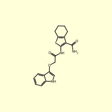 NC(=O)c1c(NC(=O)COc2c[nH]c3ccccc23)sc2c1CCCC2